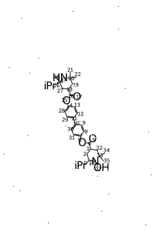 CC(C)C1CC(C(=O)Oc2ccc(-c3ccc(OC(=O)C4CC(C)(C)NC(C)(C(C)C)C4)cc3)cc2)CC(C)(C)N1O